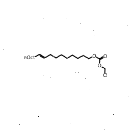 CCCCCCCC/C=C/CCCCCCCCOC(=O)OCCl